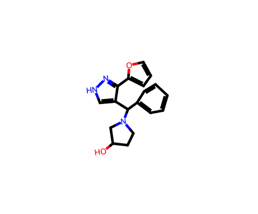 OC1CCN(C(c2ccccc2)c2c[nH]nc2-c2ccco2)C1